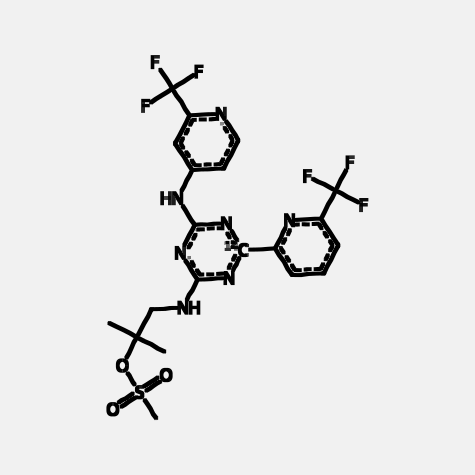 CC(C)(CNc1nc(Nc2ccnc(C(F)(F)F)c2)n[14c](-c2cccc(C(F)(F)F)n2)n1)OS(C)(=O)=O